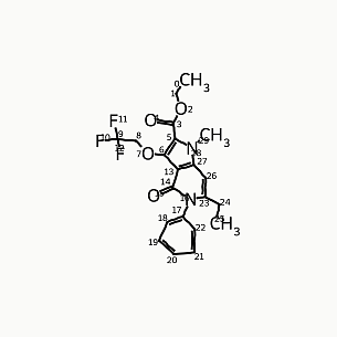 CCOC(=O)c1c(OCC(F)(F)F)c2c(=O)n(-c3ccccc3)c(CC)cc2n1C